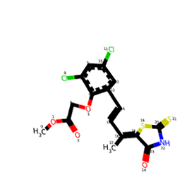 COC(=O)COc1c(Cl)cc(Cl)cc1C=CC(C)=C1SC(=S)NC1=O